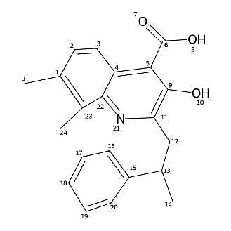 Cc1ccc2c(C(=O)O)c(O)c(CC(C)c3ccccc3)nc2c1C